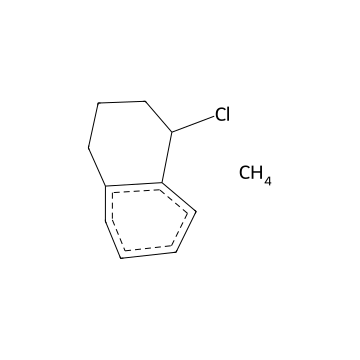 C.ClC1CCCc2ccccc21